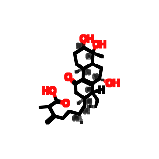 C=C(CC[C@@H](C)[C@H]1CC[C@H]2C3=C(C(=O)C[C@]12C)[C@@]1(C)CC[C@@H](O)[C@](C)(O)C1C[C@@H]3O)C(C)C(=O)O